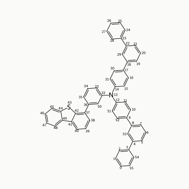 c1ccc(-c2cccc(-c3ccc(N(c4ccc(-c5cccc(-c6ccccc6)c5)cc4)c4cccc(-c5cccc6c5sc5ccccc56)c4)cc3)c2)cc1